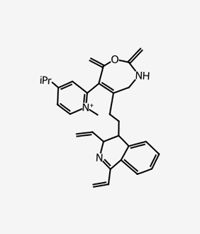 C=CC1=NC(C=C)C(CCC2=C(c3cc(C(C)C)cc[n+]3C)C(=C)OC(=C)NC2)c2ccccc21